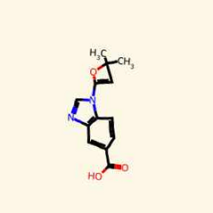 CC1(C)C=C(n2cnc3cc(C(=O)O)ccc32)O1